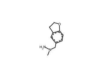 CN(N)Cc1ccc2c(c1)CCO2